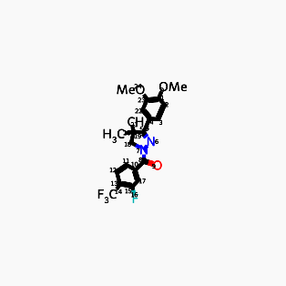 COc1ccc(C2=NN(C(=O)c3ccc(C(F)(F)F)c(F)c3)CC2(C)C)cc1OC